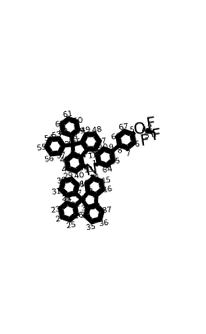 FC(F)(F)Oc1ccc(-c2ccc(N(c3ccc4c(c3)C(c3ccccc3)(c3ccccc3)c3ccccc3-4)c3cccc4c3-c3ccccc3C4(c3ccccc3)c3ccccc3)cc2)cc1